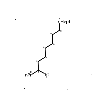 C[CH]CC(CC)CCCCCCCCCCCCC